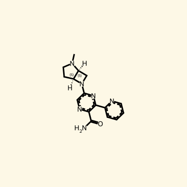 CN1CC[C@H]2[C@@H]1CN2c1cnc(C(N)=O)c(-c2ccccn2)n1